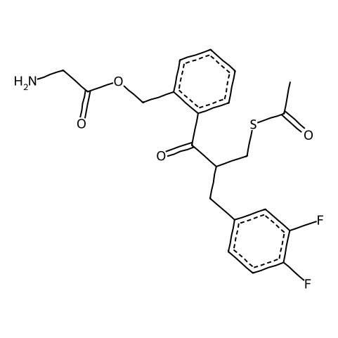 CC(=O)SCC(Cc1ccc(F)c(F)c1)C(=O)c1ccccc1COC(=O)CN